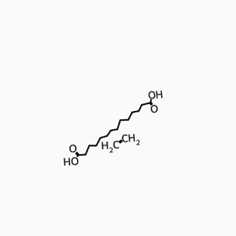 C=C.O=C(O)CCCCCCCCCCCCC(=O)O